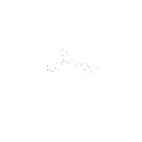 CCCCCCCCC1(CCCCCCCC)c2cc(C)ccc2-c2ccc(-c3ccc(N(c4ccc(C)cc4)c4ccc(N5CCCC5=O)cc4)cc3)cc21